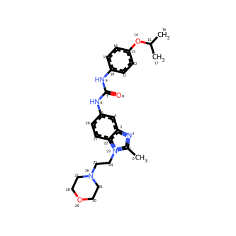 Cc1nc2cc(NC(=O)Nc3ccc(OC(C)C)cc3)ccc2n1CCN1CCOCC1